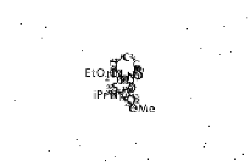 CCOC(=O)[C@@]12C[C@H]1/C=C\CCCCN(C)C(=O)N1C[C@H](Oc3cc(C4=NC(C(C)C)CS4)nc4cc(OC)ccc34)C[C@H]1C(=O)N2